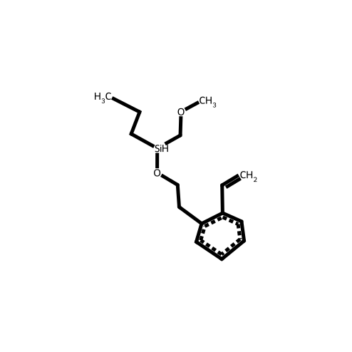 C=Cc1ccccc1CCO[SiH](CCC)COC